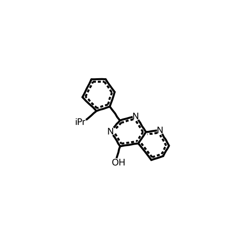 CC(C)c1ccccc1-c1nc(O)c2cccnc2n1